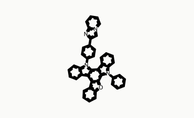 c1ccc(-n2c3ccccc3c3c2c2oc4ccccc4c2c2c4ccccc4n(-c4ccc(-c5cn6ccccc6n5)cc4)c23)cc1